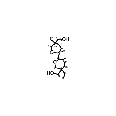 CCC1(CO)COC(C2OCC(C)(CO)CO2)OC1